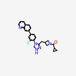 O=C(C1CC1)N1CC(CC2=NNCN2c2ccc(-c3ccc4cccnc4c3)cc2F)C1